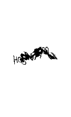 Cc1cc(OCC(=O)N(C)C)cc(C)c1-c1nc2ccc(C(=O)O)cc2[nH]1